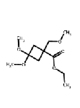 CCOC(=O)C1(COC)CC(OC)(OC)C1